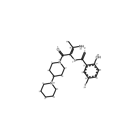 C=C(S/C(C(=O)N1CCC(N2CCCCC2)CC1)=C(/C)N)c1cc(F)ccc1O